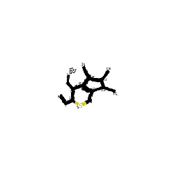 C=CC1=C(CC(C)CC)C2=C(CS1)C(C)C(C)=C2C